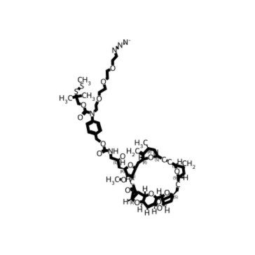 C=C1C[C@@H]2CC[C@@]34C[C@H]5O[C@@H]6C(O[C@H]7CC[C@H](CC(=O)C[C@H]8C(C[C@H]9O[C@@H](CC[C@@H]1O2)C[C@@H](C)C9=C)O[C@H](C[C@H](O)CNC(=O)OCc1ccc(N(CCOCCOCCOCCN=[N+]=[N-])C(=O)OCC(C)(C)SSC)cc1)[C@@H]8OC)O[C@@H]7[C@@H]6O3)[C@@H]5O4